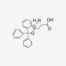 N[C@@H](CC(=O)OC(c1ccccc1)(c1ccccc1)c1ccccc1)C(=O)O